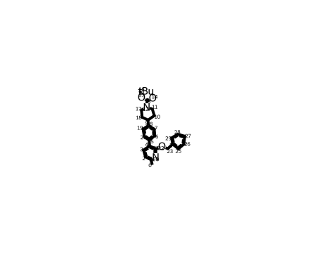 Cc1ccc(-c2ccc(C3CCN(C(=O)OC(C)(C)C)CC3)cc2)c(OCc2ccccc2)n1